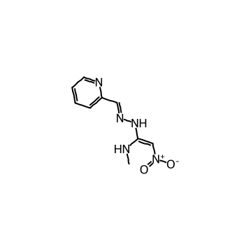 CNC(=C[N+](=O)[O-])NN=Cc1ccccn1